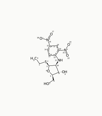 CCS[C@@H]1O[C@H](CO)[C@@H](O)[C@@H]1Nc1ccc([N+](=O)[O-])cc1[N+](=O)[O-]